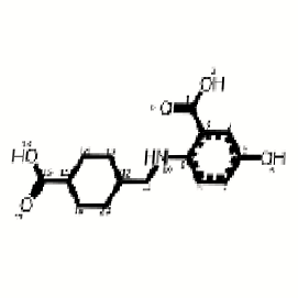 O=C(O)c1cc(O)ccc1NCC1CCC(C(=O)O)CC1